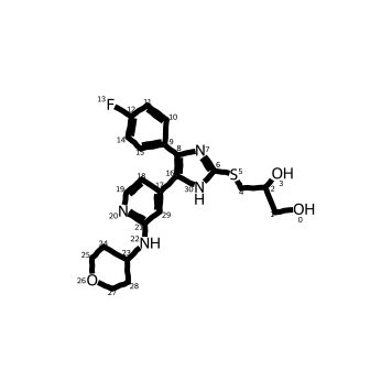 OCC(O)CSc1nc(-c2ccc(F)cc2)c(-c2ccnc(NC3CCOCC3)c2)[nH]1